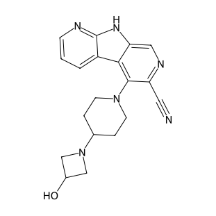 N#Cc1ncc2[nH]c3ncccc3c2c1N1CCC(N2CC(O)C2)CC1